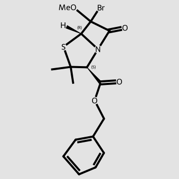 COC1(Br)C(=O)N2[C@@H](C(=O)OCc3ccccc3)C(C)(C)S[C@@H]21